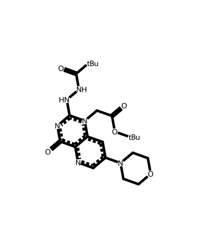 CC(C)(C)OC(=O)Cn1c(NNC(=O)C(C)(C)C)nc(=O)c2ncc(N3CCOCC3)cc21